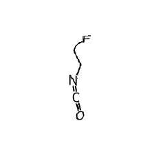 O=C=NCCF